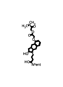 CCCCC[C@@H](O)CCC[C@@H]1C2Cc3cccc(OCC(=O)OCC(=O)N(C)C)c3CC2C[C@H]1O